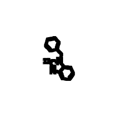 c1ccc(Cn2[13cH]nc3ccccc32)cc1